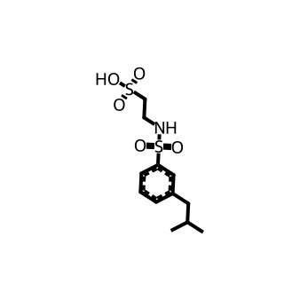 CC(C)Cc1cccc(S(=O)(=O)NCCS(=O)(=O)O)c1